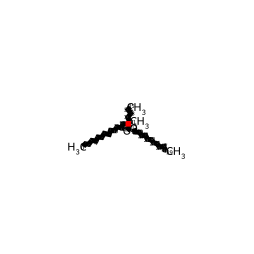 CCCCCCCCCCCCCCC(C(=O)OCCCCCCCCCCCC)C(C)CCCC